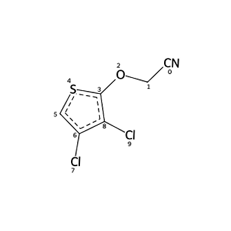 N#CCOc1scc(Cl)c1Cl